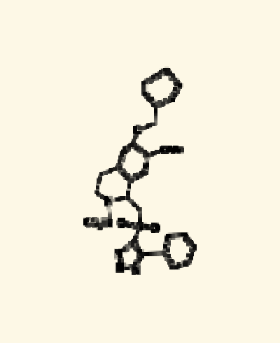 CCOC(=O)N1CCc2cc(OCc3ccccc3)c(OC)cc2C1CS(=O)(=O)c1nnnn1-c1ccccc1